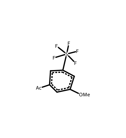 COc1cc(C(C)=O)cc(S(F)(F)(F)(F)F)c1